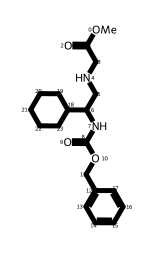 COC(=O)CNCC(NC(=O)OCc1ccccc1)C1CCCCC1